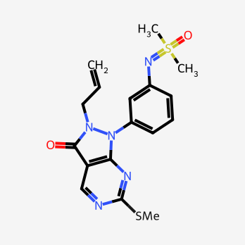 C=CCn1c(=O)c2cnc(SC)nc2n1-c1cccc(N=S(C)(C)=O)c1